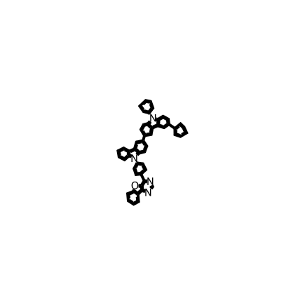 c1ccc(-c2ccc3c(c2)c2cc(-c4ccc5c(c4)c4ccccc4n5-c4ccc(-c5ncnc6c5oc5ccccc56)cc4)ccc2n3-c2ccccc2)cc1